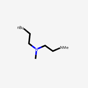 CCCCCCN(C)CCNC